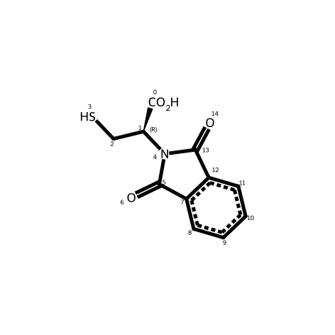 O=C(O)[C@H](CS)N1C(=O)c2ccccc2C1=O